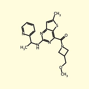 COCC1CN(C(=O)c2nc(NC(C)c3ccccn3)nc3cc(C)sc23)C1